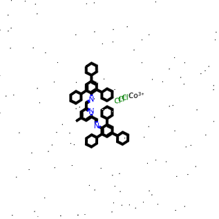 Cc1cc(C=Nc2c(C3CCCCC3)cc(C3CCCCC3)cc2C2CCCCC2)nc(C=Nc2c(C3CCCCC3)cc(C3CCCCC3)cc2C2CCCCC2)c1.[Cl-].[Cl-].[Cl-].[Co+3]